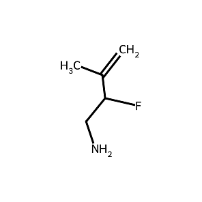 C=C(C)C(F)CN